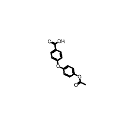 CC(=O)Oc1ccc(Oc2ccc(C(=O)O)cc2)cc1